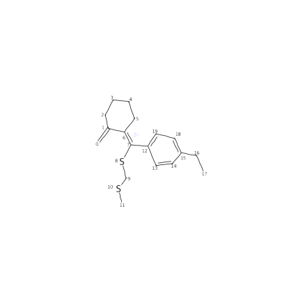 C=C1CCCC/C1=C(/SCSC)c1ccc(CC)cc1